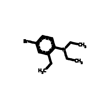 CCc1cc(Br)ccc1N(CC)CC